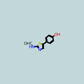 O=CNc1ncc(-c2ccc(O)cc2)s1